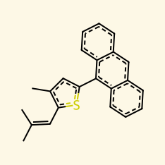 CC(C)=Cc1sc(-c2c3ccccc3cc3ccccc23)cc1C